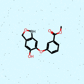 COC(=O)c1cccc(Oc2cc3c(cc2O)COB3)c1